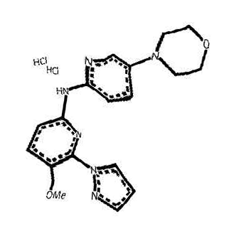 COc1ccc(Nc2ccc(N3CCOCC3)cn2)nc1-n1cccn1.Cl.Cl